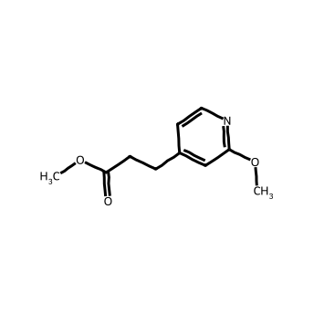 COC(=O)CCc1ccnc(OC)c1